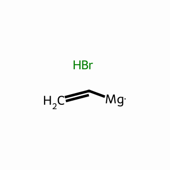 Br.C=[CH][Mg]